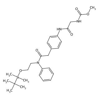 COC(=O)NCC(=O)Nc1ccc(CC(=O)N(CCO[Si](C)(C)C(C)(C)C)c2ccccc2)cc1